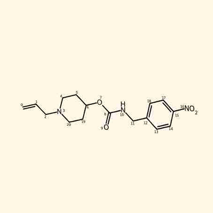 C=CCN1CCC(OC(=O)NCc2ccc([N+](=O)[O-])cc2)CC1